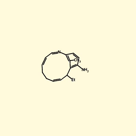 CCC1/C=C\CC/C=C\C=N/c2ccc(N)c1c2C